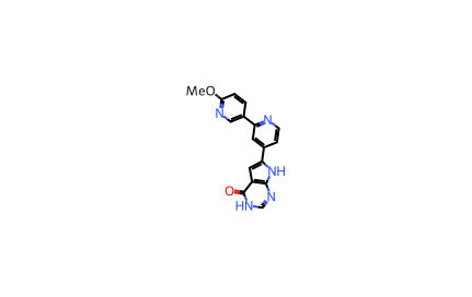 COc1ccc(-c2cc(-c3cc4c(=O)[nH]cnc4[nH]3)ccn2)cn1